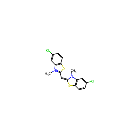 CN1C(=Cc2sc3ccc(Cl)cc3[n+]2C)Sc2ccc(Cl)cc21